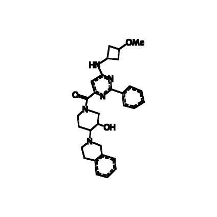 COC1CC(Nc2cc(C(=O)N3CCC(N4CCc5ccccc5C4)C(O)C3)nc(-c3ccccc3)n2)C1